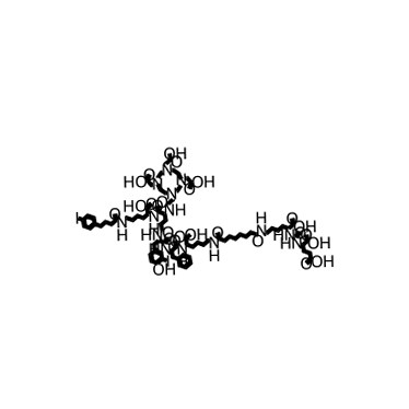 O=C(O)CCC(NC(=O)NC(CCCCNC(=O)CCCCCCC(=O)NCCCCC(NC(=O)C(Cc1ccccc1)NC(=O)C(Cc1ccc(O)c(I)c1)NC(=O)CCC(NC(=O)CN1CCN(CC(=O)O)CCN(CC(=O)O)CCN(CC(=O)O)CC1)C(=O)NC(CCCCNC(=O)CCCc1ccc(I)cc1)C(=O)O)C(=O)O)C(=O)O)C(=O)O